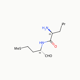 CSCC[C@@H](C=O)NC(=O)[C@@H](N)CC(C)C